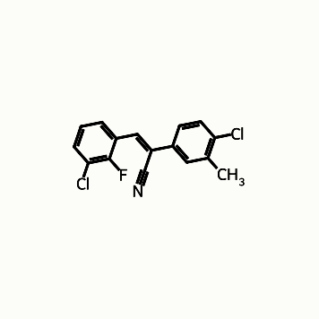 Cc1cc(C(C#N)=Cc2cccc(Cl)c2F)ccc1Cl